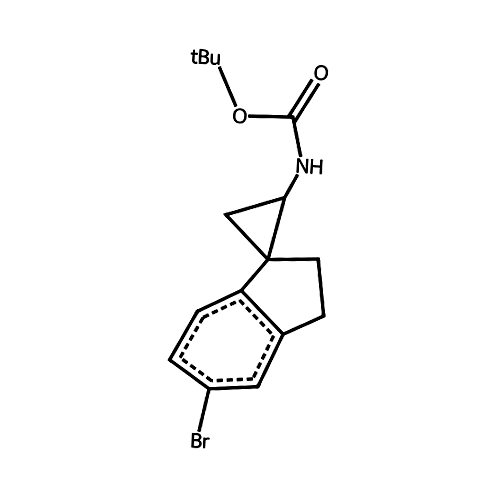 CC(C)(C)OC(=O)NC1CC12CCc1cc(Br)ccc12